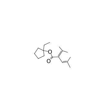 CCC1(OC(=O)C(C=C(C)C)=C(C)C)CCCC1